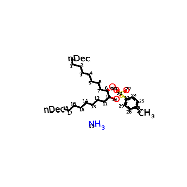 CCCCCCCCCCCCCCCCCC(=O)C(CCCCCCCCCCCCCCCCC)OS(=O)(=O)c1ccc(C)cc1.N